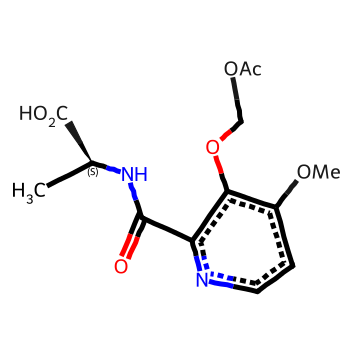 COc1ccnc(C(=O)N[C@@H](C)C(=O)O)c1OCOC(C)=O